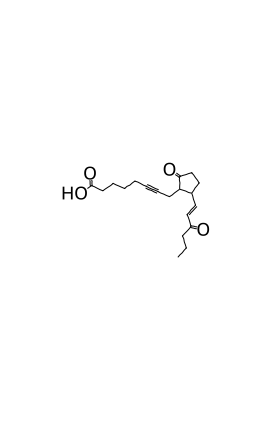 CCCC(=O)C=CC1CCC(=O)C1CC#CCCCCC(=O)O